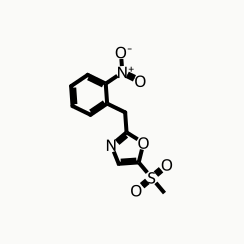 CS(=O)(=O)c1cnc(Cc2ccccc2[N+](=O)[O-])o1